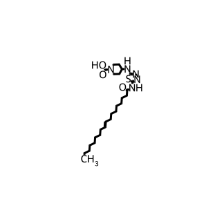 CCCCCCCCC=CCCCCCCCC(=O)Nc1nnc(NC2CCN(C(=O)O)CC2)s1